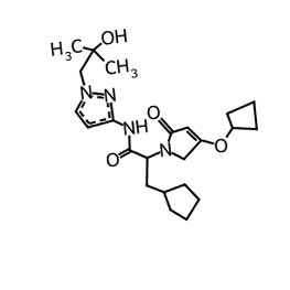 CC(C)(O)Cn1ccc(NC(=O)C(CC2CCCC2)N2CC(OC3CCC3)=CC2=O)n1